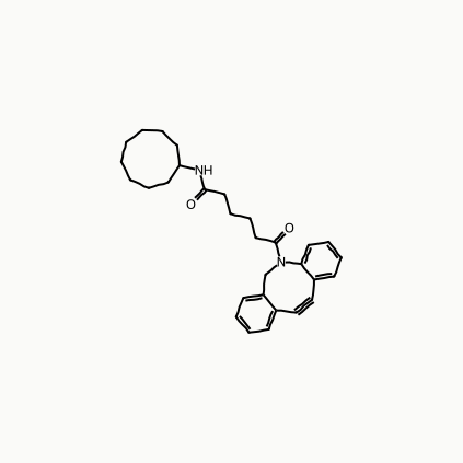 O=C(CCCCC(=O)N1Cc2ccccc2C#Cc2ccccc21)NC1CCCCCCCC1